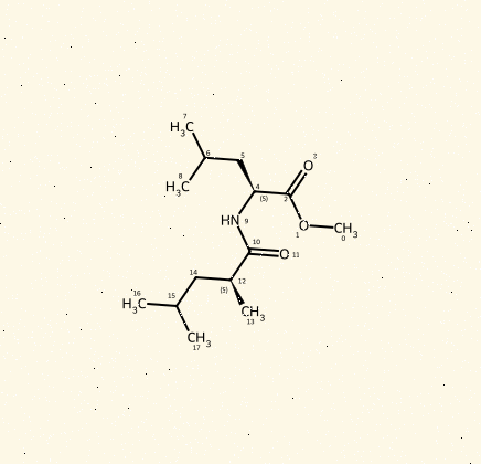 COC(=O)[C@H](CC(C)C)NC(=O)[C@@H](C)CC(C)C